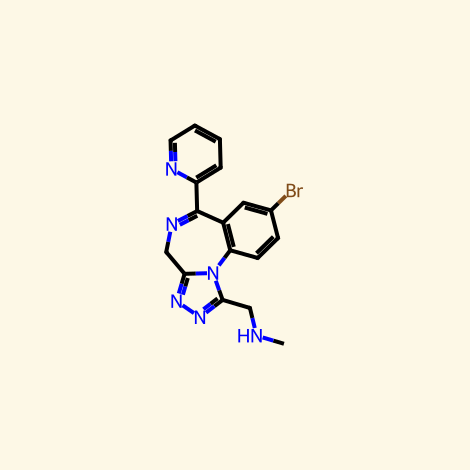 CNCc1nnc2n1-c1ccc(Br)cc1C(c1ccccn1)=NC2